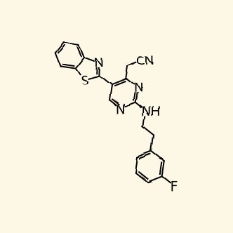 N#CCc1nc(NCCc2cccc(F)c2)ncc1-c1nc2ccccc2s1